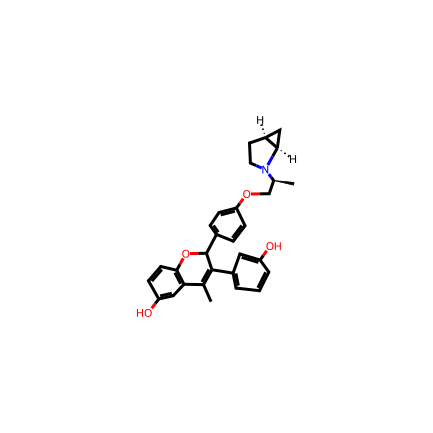 CC1=C(c2cccc(O)c2)C(c2ccc(OC[C@H](C)N3CC[C@H]4C[C@H]43)cc2)Oc2ccc(O)cc21